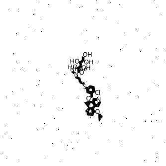 CC(=O)NCN(CCCCSc1ccc(Cl)c(COC2(c3cnccc3-c3ccccc3OC3CC3)CC2)c1)C(=O)[C@@H](O)[C@@H](O)[C@H](O)[C@@H](O)CO